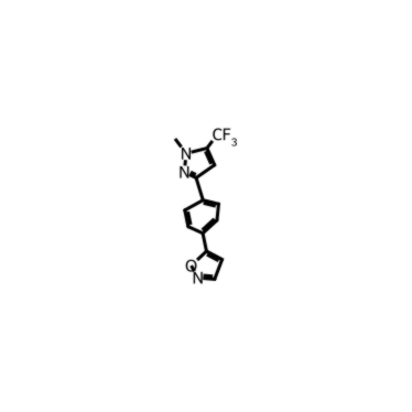 Cn1nc(-c2ccc(-c3ccno3)cc2)cc1C(F)(F)F